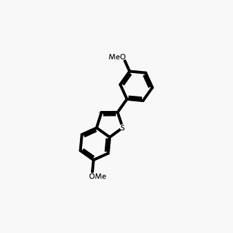 COc1cccc(-c2[c]c3ccc(OC)cc3s2)c1